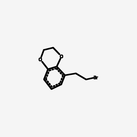 BrCCc1cccc2c1OCCO2